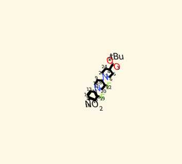 CC(C)(C)OC(=O)C1CCN(C2CCN(c3ccc([N+](=O)[O-])cc3F)CC2F)CC1